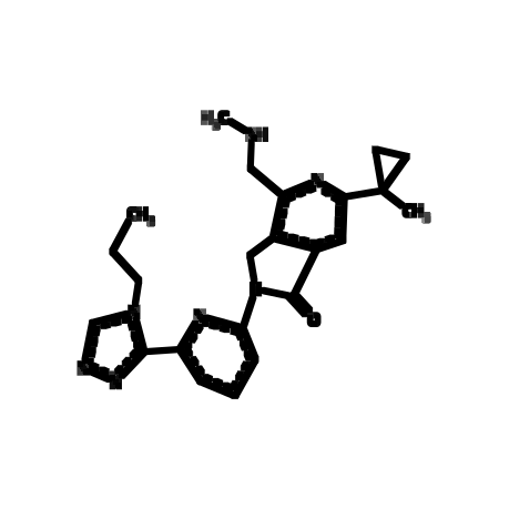 CCCn1cnnc1-c1cccc(N2Cc3c(cc(C4(C)CC4)nc3CNC)C2=O)n1